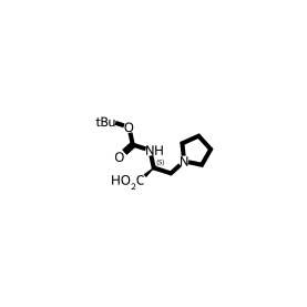 CC(C)(C)OC(=O)N[C@@H](CN1CCCC1)C(=O)O